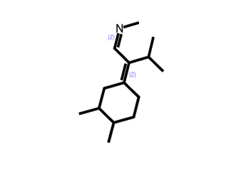 C/N=C\C(=C1\CCC(C)C(C)C1)C(C)C